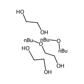 CCCCOCCCC.CCCCOCCO.OCCO.OCCO